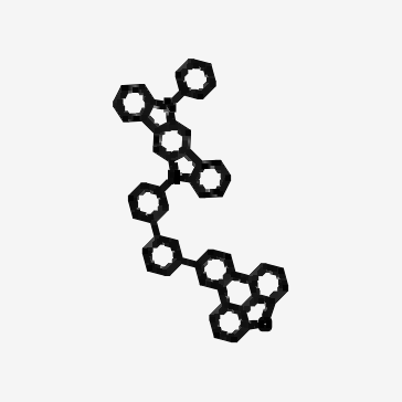 c1ccc(-n2c3ccccc3c3cc4c(cc32)c2ccccc2n4-c2cccc(-c3cccc(-c4ccc5c(c4)c4cccc6oc7cccc5c7c64)c3)c2)cc1